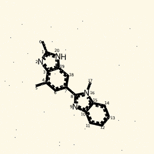 Cc1nc2c(C)cc(-c3nc4ccccc4n3C)cc2[nH]1